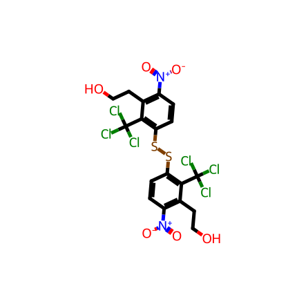 O=[N+]([O-])c1ccc(SSc2ccc([N+](=O)[O-])c(CCO)c2C(Cl)(Cl)Cl)c(C(Cl)(Cl)Cl)c1CCO